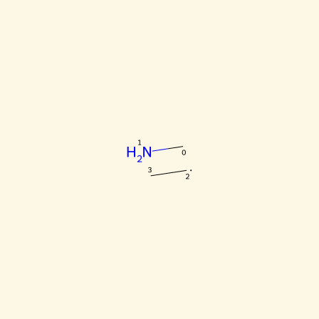 CN.[CH2]C